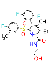 CCc1c(C(=O)NCCO)nc(S(=O)(=O)c2ccc(F)c(C)c2)c(-c2cc(F)ccc2F)c1C